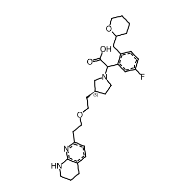 O=C(O)C(c1cc(F)ccc1CC1CCCCO1)N1CC[C@@H](CCOCCc2ccc3c(n2)NCCC3)C1